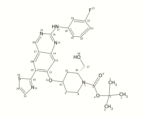 CC(C)(C)OC(=O)N1CCC(Oc2cc3nc(Nc4cccc(F)c4)ncc3cc2-c2nccs2)C[C@@H]1CO